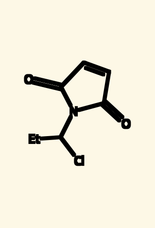 CCC(Cl)N1C(=O)C=CC1=O